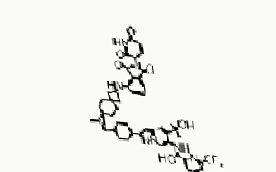 CN(CC1CCC(c2cc3cc(C(C)(C)O)c(NC(O)c4cccc(C(F)(F)F)n4)cn3n2)CC1)C1CCC2(CC1)CC(Nc1cccc3c1C(=O)N(C1CCC(=O)NC1=O)C3=O)C2